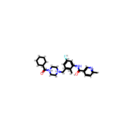 Cc1ccc(C(=O)Nc2cc(F)cc(CN3CCN(C(=O)C4CCCCC4)CC3)c2C)cn1